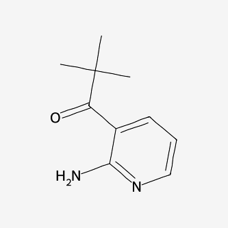 CC(C)(C)C(=O)c1cccnc1N